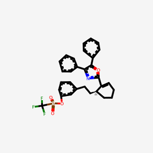 O=S(=O)(Oc1cccc(CC[C@@H]2CCCC=C2c2nc(-c3ccccc3)c(-c3ccccc3)o2)c1)C(F)(F)F